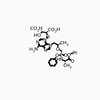 CC(C)OC(=O)[C@H](C)N[P@](=O)(CO[C@H](C)Cn1cnc2c(N)nc[n+](O[C@H](C(=O)O)[C@H](O)C(=O)O)c21)Oc1ccccc1